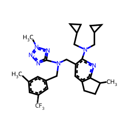 Cc1cc(CN(Cc2cc3c(nc2N(CC2CC2)CC2CC2)C(C)CC3)c2nnn(C)n2)cc(C(F)(F)F)c1